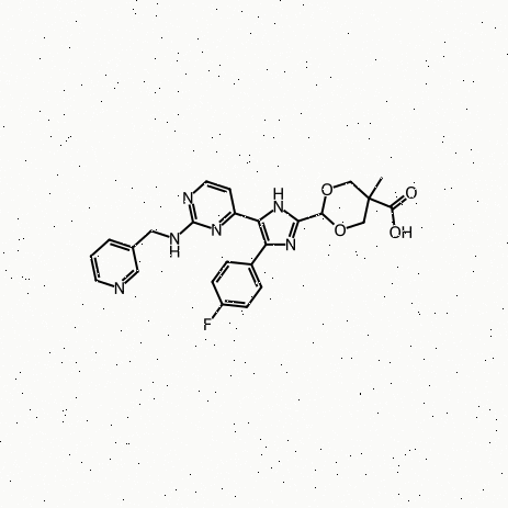 CC1(C(=O)O)COC(c2nc(-c3ccc(F)cc3)c(-c3ccnc(NCc4cccnc4)n3)[nH]2)OC1